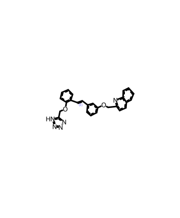 C(=C\c1ccccc1OCc1nnn[nH]1)/c1cccc(OCc2ccc3ccccc3n2)c1